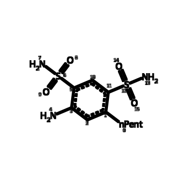 CCCCCc1cc(N)c(S(N)(=O)=O)cc1S(N)(=O)=O